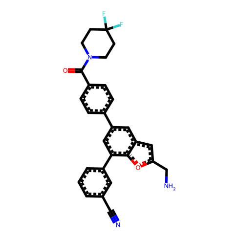 N#Cc1cccc(-c2cc(-c3ccc(C(=O)N4CCC(F)(F)CC4)cc3)cc3cc(CN)oc23)c1